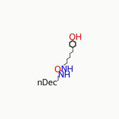 CCCCCCCCCCCCNC(=O)NCCCCCCc1ccc(O)cc1